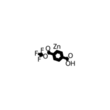 O=C(O)c1ccc(C(=O)OC(F)(F)F)cc1.[Zn]